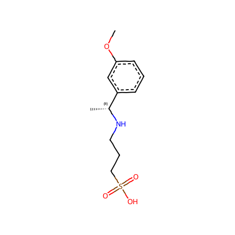 COc1cccc([C@@H](C)NCCCS(=O)(=O)O)c1